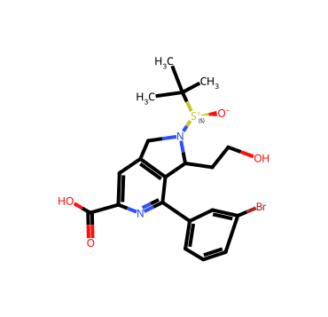 CC(C)(C)[S@@+]([O-])N1Cc2cc(C(=O)O)nc(-c3cccc(Br)c3)c2C1CCO